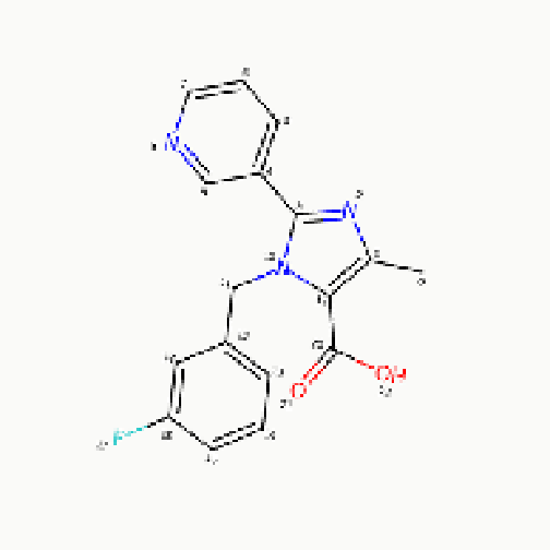 Cc1nc(-c2cccnc2)n(Cc2cccc(F)c2)c1C(=O)O